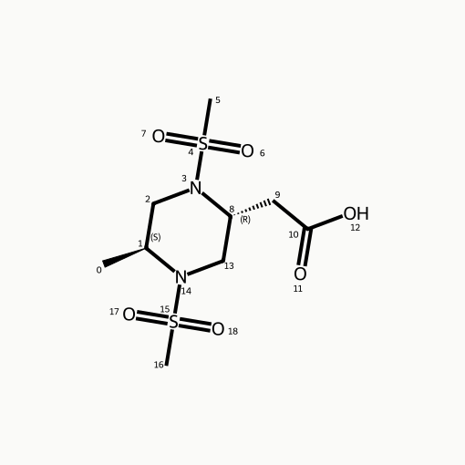 C[C@H]1CN(S(C)(=O)=O)[C@H](CC(=O)O)CN1S(C)(=O)=O